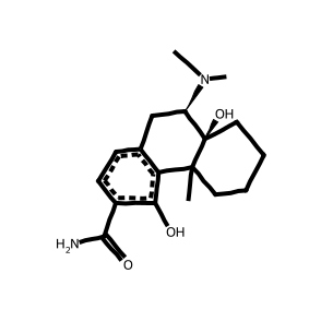 CN(C)[C@@H]1Cc2ccc(C(N)=O)c(O)c2C2(C)CCCC[C@@]12O